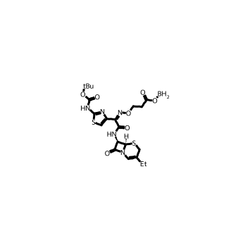 BOC(=O)CCO/N=C(\C(=O)N[C@@H]1C(=O)N2C=C(CC)CS[C@H]12)c1csc(NC(=O)OC(C)(C)C)n1